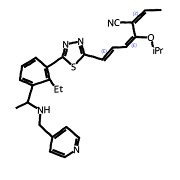 C\C=C(C#N)/C(=C\C=C\c1nnc(-c2cccc(C(C)NCc3ccncc3)c2CC)s1)OC(C)C